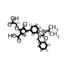 CC(C)NC(=O)N(Cc1ccccc1)c1cccc(-c2sc(C(=O)O)c(OCC(=O)O)c2Cl)c1